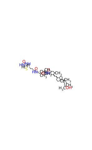 C=C1CC[C@@H](NC(=O)C(C)(C)COC(C)(C)CCNC(=O)CCCC[C@@H]2SC[C@@H]3NC(=O)N[C@@H]32)C/C1=C/C=C1\CCC[C@@]2(C)C1CCC2[C@H](C)CCCC(C)(C)O